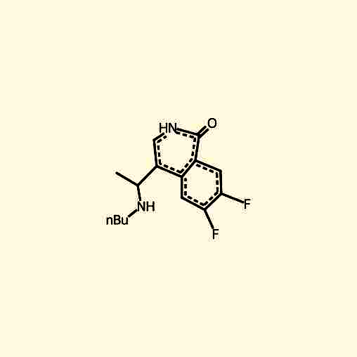 CCCCNC(C)c1c[nH]c(=O)c2cc(F)c(F)cc12